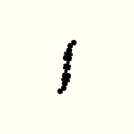 Cc1c(C)c(C#Cc2ccc3c4c(cccc24)C(=O)N(c2ccc(C4=CC=C(C5=CCC=C5)C4)cc2)C3=O)c(C)c(C)c1C#Cc1ccc2c3c(cccc13)C(=O)N(c1ccc(C3=CCC(C4C=CC=C4)=C3)cc1)C2=O